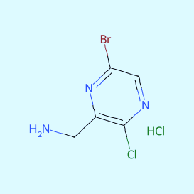 Cl.NCc1nc(Br)cnc1Cl